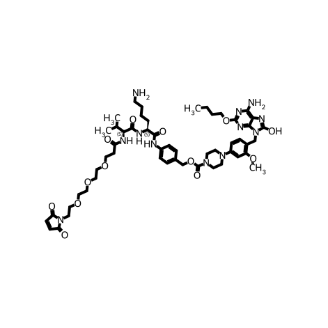 CCCCOc1nc(N)c2nc(O)n(Cc3ccc(N4CCN(C(=O)OCc5ccc(NC(=O)[C@H](CCCCN)NC(=O)[C@@H](NC(=O)CCOCCOCCOCCN6C(=O)C=CC6=O)C(C)C)cc5)CC4)cc3OC)c2n1